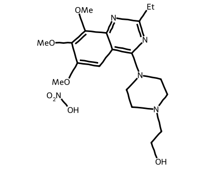 CCc1nc(N2CCN(CCO)CC2)c2cc(OC)c(OC)c(OC)c2n1.O=[N+]([O-])O